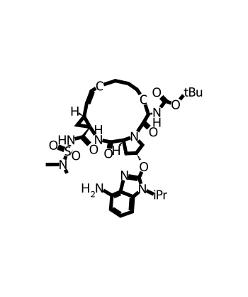 CC(C)n1c(O[C@@H]2C[C@H]3C(=O)N[C@]4(C(=O)NS(=O)(=O)N(C)C)C[C@H]4/C=C\CCCCC[C@H](NC(=O)OC(C)(C)C)C(=O)N3C2)nc2c(N)cccc21